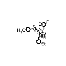 CCc1cccc(CNC[C@H](O)[C@@H](Cc2cc(F)cc(F)c2)NC(=O)c2csc(-c3ccc(C)cc3)n2)c1